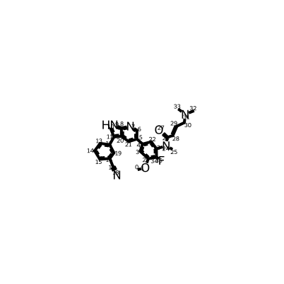 COc1cc(-c2cnc3[nH]cc(-c4cccc(C#N)c4)c3c2)cc(N(C)C(=O)/C=C/CN(C)C)c1F